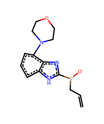 C=CC[S+]([O-])c1nc2c(N3CCOCC3)cccc2[nH]1